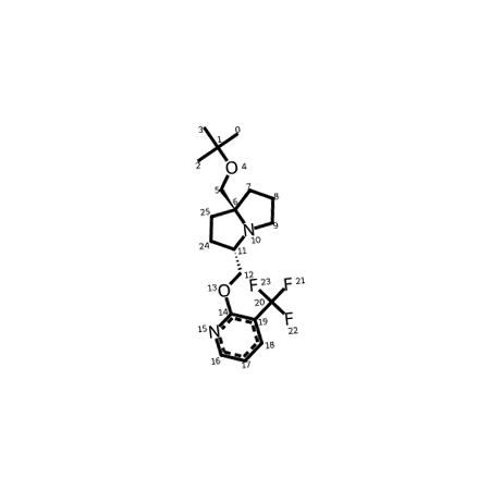 CC(C)(C)OC[C@@]12CCCN1[C@H](COc1ncccc1C(F)(F)F)CC2